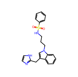 O=S(=O)(NCCCn1cc(Cc2ncc[nH]2)c2ccccc21)c1ccccc1